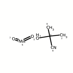 CC(C)(O)C#N.[O]=[Mn]=[O]